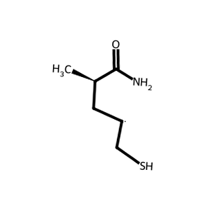 C[C@H](C[CH]CS)C(N)=O